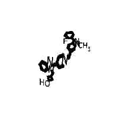 Cn1nc(-c2ccccc2F)c2ccc(CN3CCC(c4nc5ccccc5n4CC4CC(O)C4)CC3)cc21